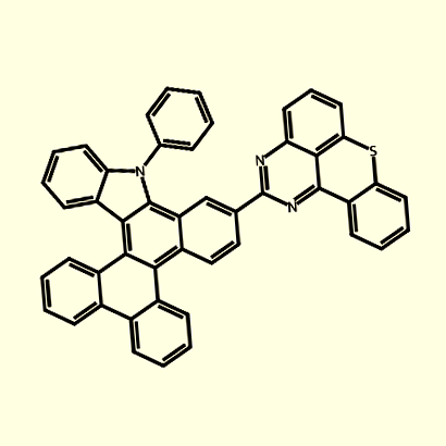 c1ccc(-n2c3ccccc3c3c4c5ccccc5c5ccccc5c4c4ccc(-c5nc6c7c(cccc7n5)Sc5ccccc5-6)cc4c32)cc1